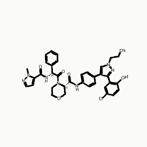 Cn1nccc1C(=O)N[C@@H](C(=O)N1CCOC[C@H]1C(=O)Nc1ccc(-c2cn(CCC#N)nc2-c2cc(Cl)ccc2O)cc1)c1ccccc1